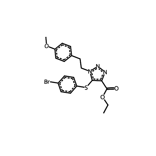 CCOC(=O)c1nnn(CCc2ccc(OC)cc2)c1Sc1ccc(Br)cc1